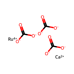 O=C([O-])[O-].O=C([O-])[O-].O=C([O-])[O-].[Ca+2].[Ru+4]